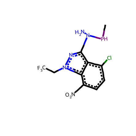 CPN(N)c1nn(CC(F)(F)F)c2c([N+](=O)[O-])ccc(Cl)c12